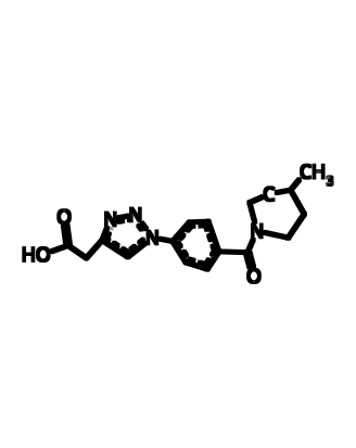 CC1CCN(C(=O)c2ccc(-n3cc(CC(=O)O)nn3)cc2)CC1